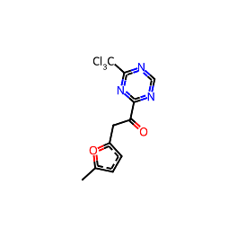 Cc1ccc(CC(=O)c2ncnc(C(Cl)(Cl)Cl)n2)o1